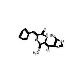 O.[2H]C(c1nc[nH]c1C(C)(C)C)=c1[nH]c(=O)c(=Cc2ccccc2)[nH]c1=O